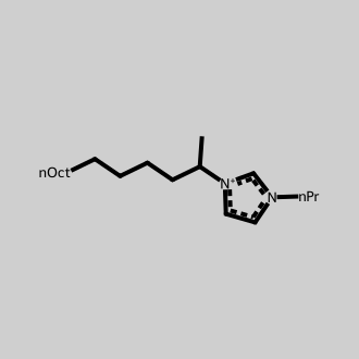 CCCCCCCCCCCCC(C)[n+]1ccn(CCC)c1